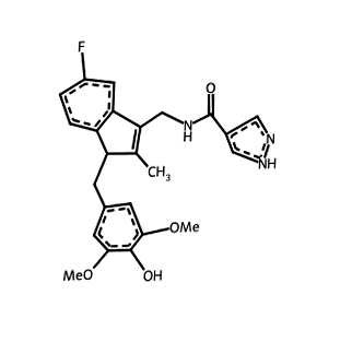 COc1cc(CC2C(C)=C(CNC(=O)c3cn[nH]c3)c3cc(F)ccc32)cc(OC)c1O